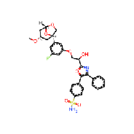 CO[C@@H]1C[C@@H]2OC[C@@](c3cc(F)cc(OCC(O)c4nc(-c5ccccc5)c(-c5ccc(S(N)(=O)=O)cc5)o4)c3)(C1)O2